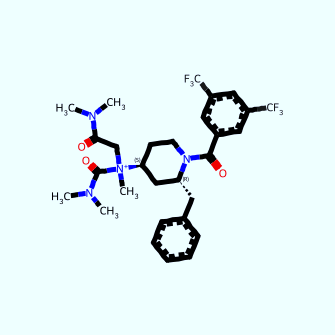 CN(C)C(=O)C[N+](C)(C(=O)N(C)C)[C@H]1CCN(C(=O)c2cc(C(F)(F)F)cc(C(F)(F)F)c2)[C@H](Cc2ccccc2)C1